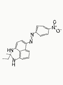 CCC1(C)Nc2cccc3c(N=Nc4ccc([N+](=O)[O-])cc4)ccc(c23)N1